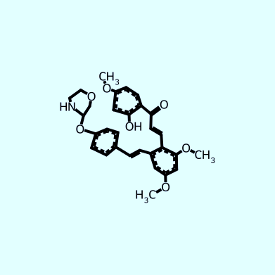 COc1ccc(C(=O)/C=C/c2c(/C=C/c3ccc(OC4COCCN4)cc3)cc(OC)cc2OC)c(O)c1